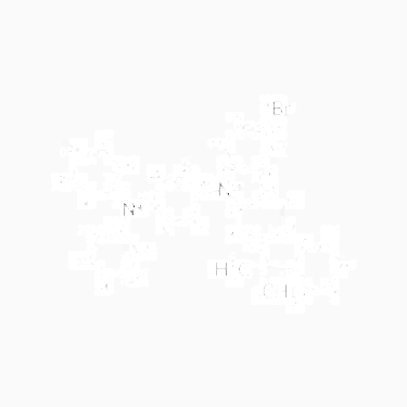 CC1(C)c2ccccc2-c2cc3c4cc(Br)ccc4n(-c4ccc(N(c5ccccc5)c5ccccc5)cc4)c3cc21